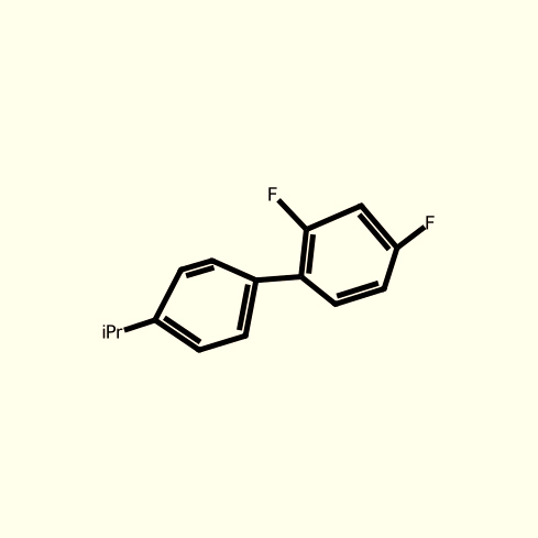 CC(C)c1ccc(-c2ccc(F)cc2F)cc1